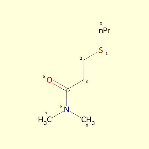 CCCSCCC(=O)N(C)C